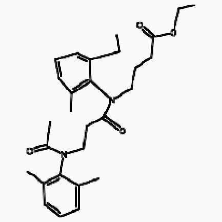 CCOC(=O)CCCN(C(=O)CCN(C(C)=O)c1c(C)cccc1C)c1c(C)cccc1CC